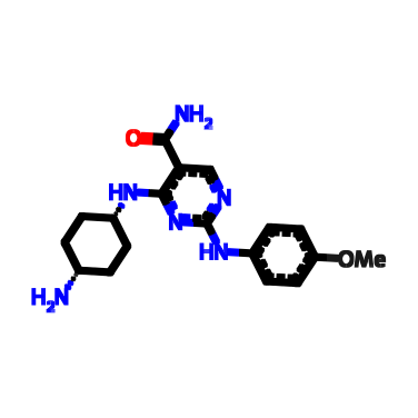 COc1ccc(Nc2ncc(C(N)=O)c(N[C@H]3CC[C@@H](N)CC3)n2)cc1